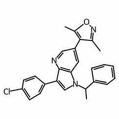 Cc1noc(C)c1-c1cnc2c(-c3ccc(Cl)cc3)cn(C(C)c3ccccc3)c2c1